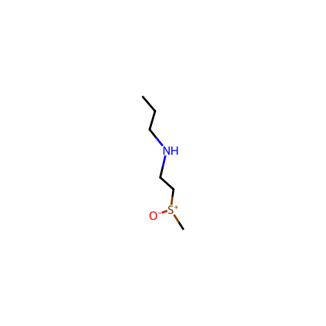 CCCNCC[S+](C)[O-]